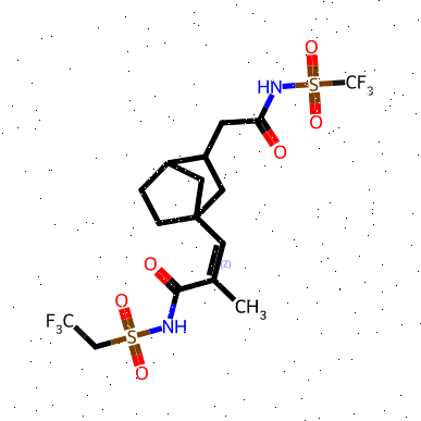 C/C(=C/C12CCC(C1)C(CC(=O)NS(=O)(=O)C(F)(F)F)C2)C(=O)NS(=O)(=O)CC(F)(F)F